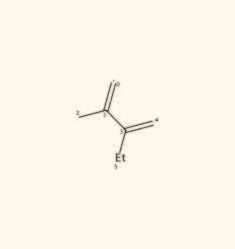 [CH]=C(C)C(=C)CC